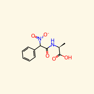 C[C@H](NC(=O)C(c1ccccc1)[N+](=O)[O-])C(=O)O